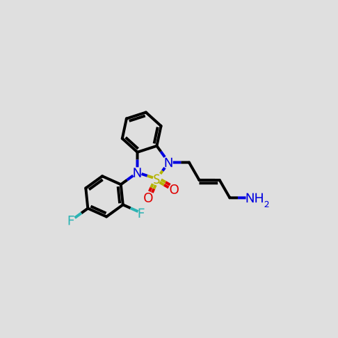 NC/C=C/CN1c2ccccc2N(c2ccc(F)cc2F)S1(=O)=O